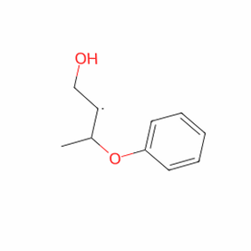 CC([CH]CO)Oc1ccccc1